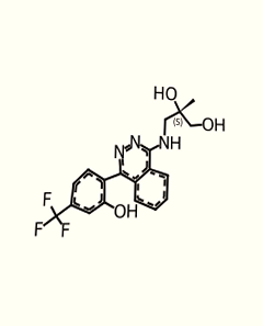 C[C@@](O)(CO)CNc1nnc(-c2ccc(C(F)(F)F)cc2O)c2ccccc12